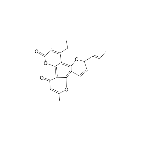 CC=CC1C=Cc2c(c3c(CC)[c]c(=O)oc3c3c(=O)cc(C)oc23)O1